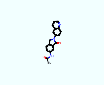 CCC(C)C(=O)Nc1ccc2c(c1)C(=O)N(c1ccc3ncccc3c1)C2